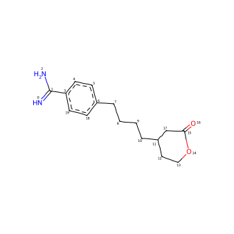 N=C(N)c1ccc(CCCCC2CCOC(=O)C2)cc1